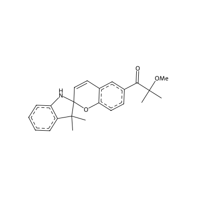 COC(C)(C)C(=O)c1ccc2c(c1)C=CC1(Nc3ccccc3C1(C)C)O2